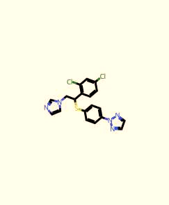 Clc1ccc(C(Cn2ccnc2)Sc2ccc(-n3nccn3)cc2)c(Cl)c1